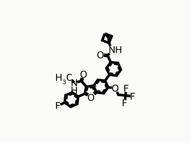 CNC(=O)c1c(-c2ccc(F)cc2)oc2cc(OCC(F)(F)F)c(-c3cccc(C(=O)NC45CC(C4)C5)c3)cc12